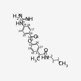 CCCCNC(=O)C(C)c1ccc(OC(=O)c2ccc(NC(=N)N)cc2)cc1